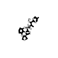 COc1cccc(OC)c1-n1c(NS(=O)(=O)C(C)C(OC(C)C)c2ncc(C)cn2)nnc1[C@@H]1CCOC1